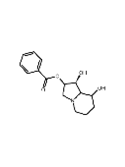 O=C(OC1CN2CCCC(O)C2[C@@H]1O)c1ccccc1